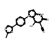 Cc1nc(-c2ccc(-n3ccc4[nH]c(=O)c(C#N)c(O)c43)cc2)cs1